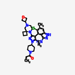 C=CC(=O)N1CCC(n2nc(N3CCN(C4COC4)CC34CCC4)c(-c3c(Cl)c(C)cc4[nH]nc(N)c34)c2C)CC1